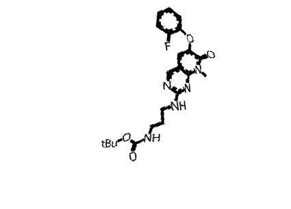 Cn1c(=O)c(Oc2ccccc2F)cc2cnc(NCCCNC(=O)OC(C)(C)C)nc21